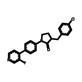 O=C1C(Cc2ccc(Cl)cc2)CCN1c1ccc(-c2ccncc2F)cc1